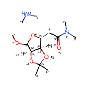 CNC.COC1O[C@H](CC(=O)N(C)C)[C@H]2OC(C)(C)O[C@@H]12